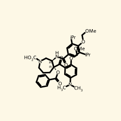 COCOc1ccc(N(C)C)cc1C(=O)[C@@]1(OC(=O)c2ccccc2)CCCN(C(=O)O)C[C@H]1NC(=O)c1cc(C(C)C)c(OCOC)c(C(C)C)c1